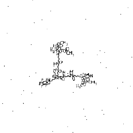 CC(=O)OCC1OC(OCCCCC(=O)NCCCNC(=O)CCC(CCC=O)(CCC(=O)NCCCNC(=O)CCCCOC2OC(COC(C)=O)C(OC(C)=O)C(O)C2N)NC(=O)CCCC(=O)Oc2c(F)c(F)c(F)c(F)c2F)C(N)C(O)C1OC(C)=O